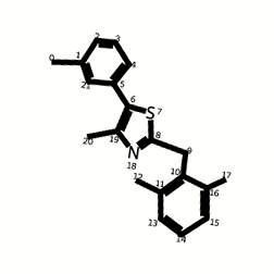 Cc1cccc(-c2sc(Cc3c(C)cccc3C)nc2C)c1